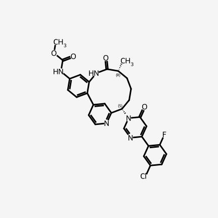 COC(=O)Nc1ccc2c(c1)NC(=O)[C@H](C)CCC[C@H](n1cnc(-c3cc(Cl)ccc3F)cc1=O)c1cc-2ccn1